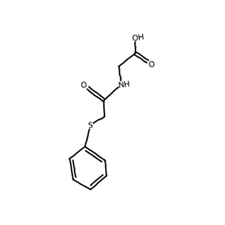 O=C(O)CNC(=O)CSc1ccccc1